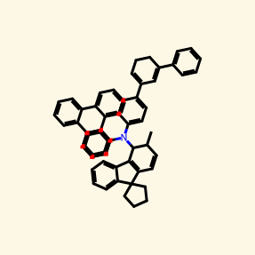 CC1C=CC2=C(c3ccccc3C23CCCC3)C1N(c1ccc(C2=CCCC(c3ccccc3)=C2)cc1)c1ccccc1-c1ccccc1-c1ccccc1-c1ccccc1